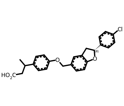 CC(CC(=O)O)c1ccc(OCc2ccc3c(c2)C[C@H](c2ccc(Cl)cc2)O3)cc1